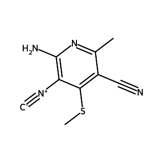 [C-]#[N+]c1c(N)nc(C)c(C#N)c1SC